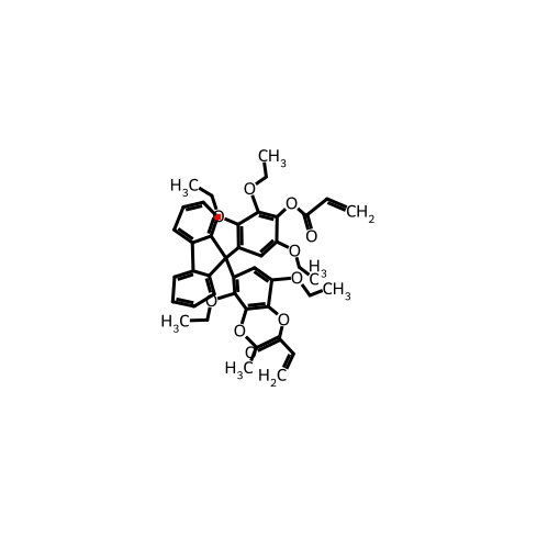 C=CC(=O)Oc1c(OCC)cc(C2(c3cc(OCC)c(OC(=O)C=C)c(OCC)c3OCC)c3ccccc3-c3ccccc32)c(OCC)c1OCC